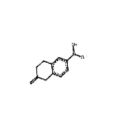 C=C1CCc2cc(B(O)O)ccc2C1